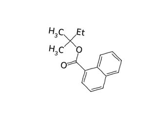 CCC(C)(C)OC(=O)c1cccc2ccccc12